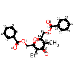 CCc1c(COC(=O)c2ccccc2)oc(COC(=O)c2ccccc2)c(C)c1=O